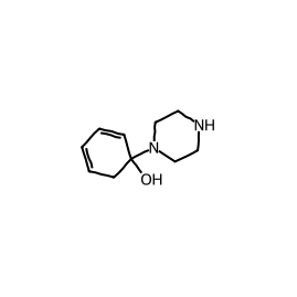 OC1(N2CCNCC2)C=CC=CC1